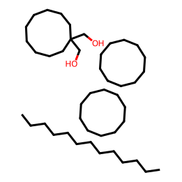 C1CCCCCCCCC1.C1CCCCCCCCC1.CCCCCCCCCCCCC.OCC1(CO)CCCCCCCCC1